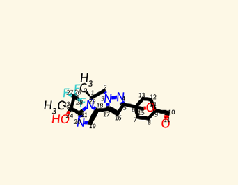 C[C@H]1Cn2nc(C34CCC(C=O)(CC3)OC4)cc2-c2cnc([C@@](C)(O)C(F)(F)F)n21